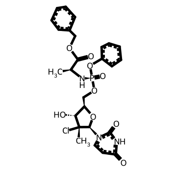 C[C@H](N[P@@](=O)(OC[C@H]1O[C@@H](n2ccc(=O)[nH]c2=O)[C@](C)(Cl)[C@@H]1O)Oc1ccccc1)C(=O)OCc1ccccc1